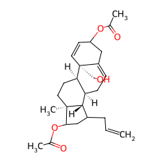 C=CCC1CC(OC(C)=O)[C@@]2(C)CC[C@@H]3[C@@H](CC=C4CC(OC(C)=O)C=C[C@@]43CO)[C@H]12